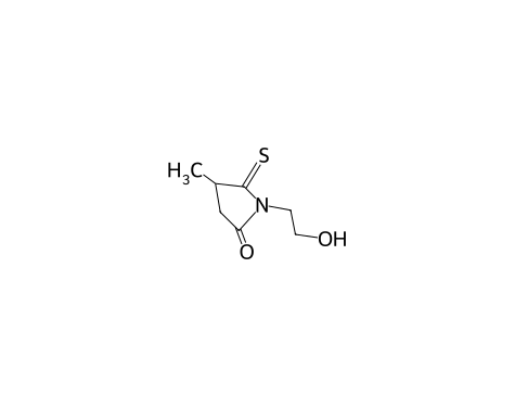 CC1CC(=O)N(CCO)C1=S